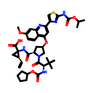 C=C[C@@H]1C[C@]1(NC(=O)[C@@H]1C[C@@H](Oc2cc(-c3csc(NC(=O)OC(C)C)n3)nc3cc(OC)ccc23)CN1C(=O)[C@@H](NC(=O)OC1CCCC1)C(C)(C)C)C(=O)O